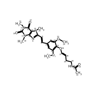 COc1cc(C=Cc2nc3c(c(=O)n(C)c(=O)n3C)n2C)cc(OC)c1OC=CCCNC(C)=O